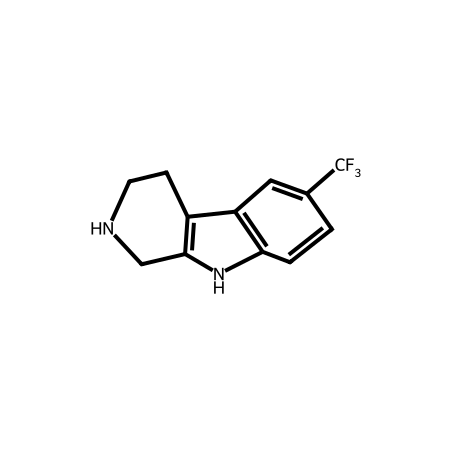 FC(F)(F)c1ccc2[nH]c3c(c2c1)CCNC3